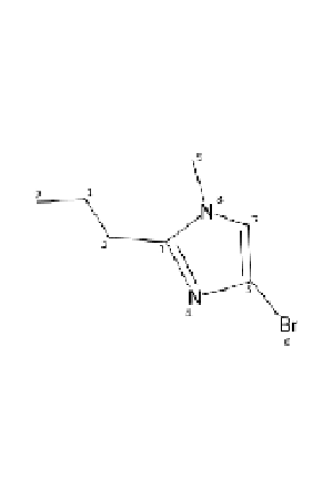 CCCc1nc(Br)cn1C